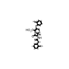 O=C(O)C1=C(Sc2ccccc2I)CS[C@H]2[C@H](NC(=S)Cc3ccccc3I)C(=O)N12